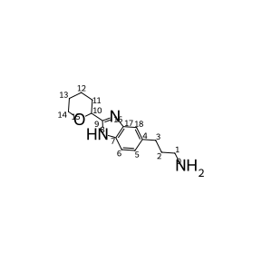 NCCCc1ccc2[nH]c(C3CCCCO3)nc2c1